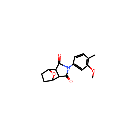 COc1cc(N2C(=O)C3C4CCC(O4)C3C2=O)ccc1C